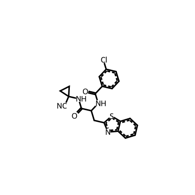 N#CC1(NC(=O)C(Cc2nc3ccccc3s2)NC(=O)c2cccc(Cl)c2)CC1